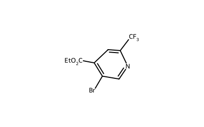 CCOC(=O)c1cc(C(F)(F)F)ncc1Br